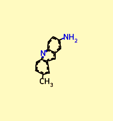 Cc1ccc2nc3ccc(N)cc3cc2c1